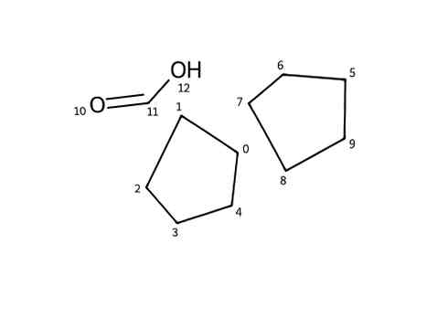 C1CCCC1.C1CCCC1.O=CO